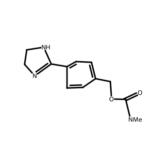 CNC(=O)OCc1ccc(C2=NCCN2)cc1